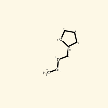 CSOC[C@@H]1CCCO1